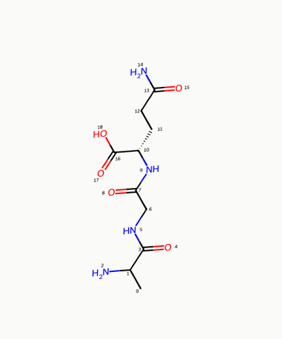 CC(N)C(=O)NCC(=O)N[C@@H](CCC(N)=O)C(=O)O